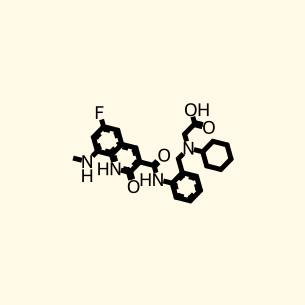 CNc1cc(F)cc2cc(C(=O)Nc3ccccc3CN(CC(=O)O)C3CCCCC3)c(=O)[nH]c12